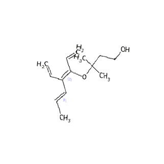 C=CC(/C=C/C)=C(\C=C)OC(C)(C)CCO